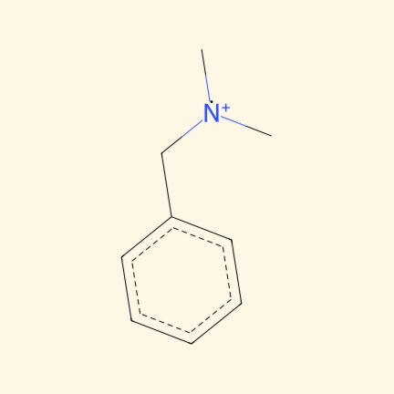 C[N+](C)Cc1ccccc1